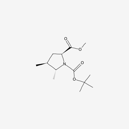 COC(=O)[C@@H]1C[C@H](C)[C@@H](C)N1C(=O)OC(C)(C)C